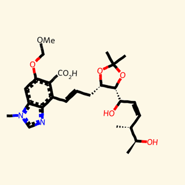 COCOc1cc2c(ncn2C)c(/C=C/C[C@@H]2OC(C)(C)O[C@@H]2C(O)/C=C\[C@@H](C)[C@H](C)O)c1C(=O)O